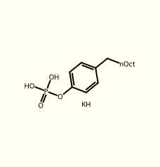 CCCCCCCCCc1ccc(OP(=O)(O)O)cc1.[KH]